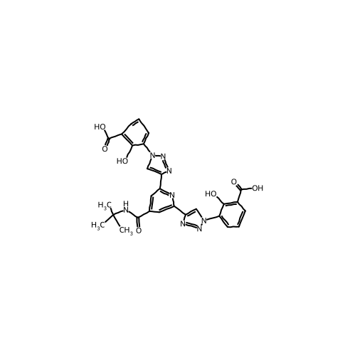 CC(C)(C)NC(=O)c1cc(-c2cn(-c3cccc(C(=O)O)c3O)nn2)nc(-c2cn(-c3cccc(C(=O)O)c3O)nn2)c1